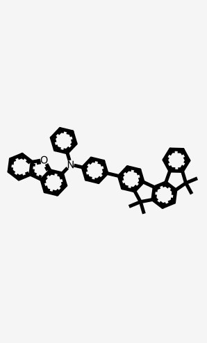 CC1(C)c2ccccc2-c2c1ccc1c2-c2ccc(-c3ccc(N(c4ccccc4)c4cccc5c4oc4ccccc45)cc3)cc2C1(C)C